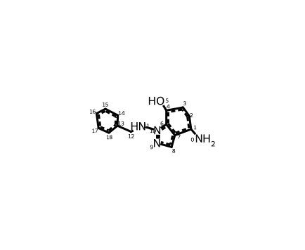 Nc1ccc(O)c2c1cnn2NCc1ccccc1